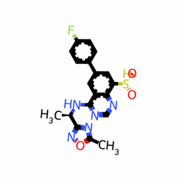 Cc1nc([C@@H](C)Nc2ncnc3c([SH](=O)=O)cc(-c4ccc(F)cc4)cc23)no1